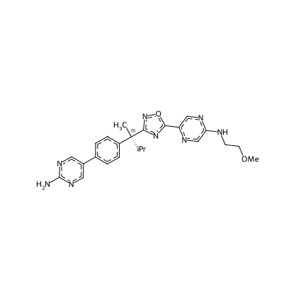 COCCNc1cnc(-c2nc([C@](C)(c3ccc(-c4cnc(N)nc4)cc3)C(C)C)no2)cn1